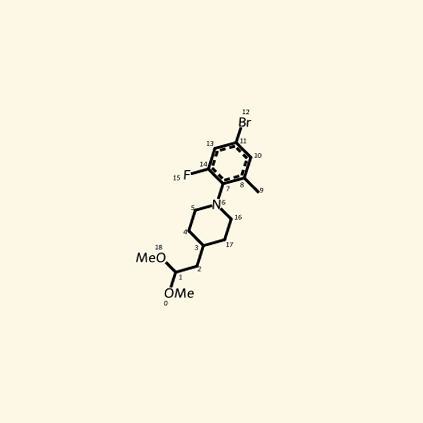 COC(CC1CCN(c2c(C)cc(Br)cc2F)CC1)OC